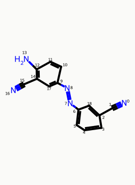 N#Cc1cccc(N=Nc2ccc(N)c(C#N)c2)c1